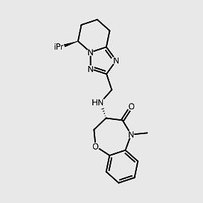 CC(C)[C@H]1CCCc2nc(CN[C@H]3COc4ccccc4N(C)C3=O)nn21